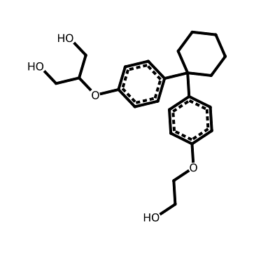 OCCOc1ccc(C2(c3ccc(OC(CO)CO)cc3)CCCCC2)cc1